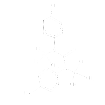 Cc1ccc(N(C(=O)N(c2ccc(C)cc2)[Si](C)(C)C)[Si](C)(C)C)cc1